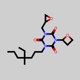 CCCC(C)(CC)CCCn1c(=O)n(CC2CO2)c(=O)n(C2CCO2)c1=O